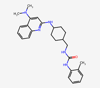 Cc1ccccc1NC(=O)NCC1CCC(Nc2cc(N(C)C)c3ccccc3n2)CC1